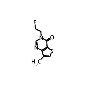 Cc1csc2c(=O)n(CCF)cnc12